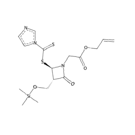 C=CCOC(=O)CN1C(=O)[C@H](CO[Si](C)(C)C)[C@H]1SC(=S)n1ccnc1